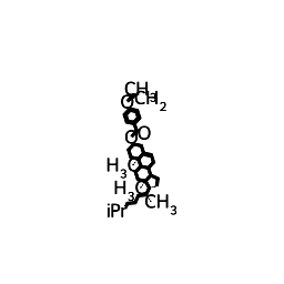 C=C(C)Oc1ccc(C(=O)OC2CC[C@@]3(C)C(=CCC4C3CC[C@@]3(C)C4CC[C@@H]3[C@H](C)CCCC(C)C)C2)cc1